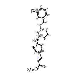 COC(=O)/C=C/c1cnc(N[C@@H]2CCCN(CCc3cccc(F)c3)C2)cn1